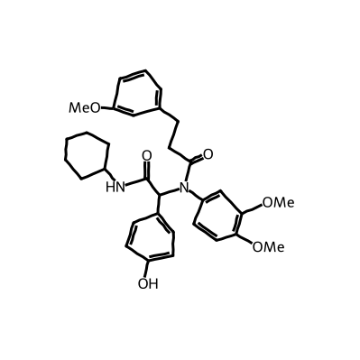 COc1cccc(CCC(=O)N(c2ccc(OC)c(OC)c2)C(C(=O)NC2CCCCC2)c2ccc(O)cc2)c1